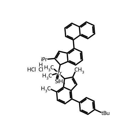 CC1=Cc2c(-c3ccc(C(C)(C)C)cc3)ccc(C)c2[CH]1[Zr]([CH3])([CH3])(=[SiH2])[CH]1C(C(C)C)=Cc2c(-c3cccc4ccccc34)cccc21.Cl.Cl